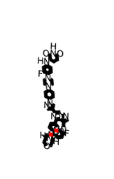 N#Cc1cnn2cc(-c3cnn(C4CCC(N5CCN(c6ccc(NC7CCC(=O)NC7=O)cc6F)CC5)CC4)c3)nc(-c3ccc(N4C[C@H]5COC[C@@H](C4)N5Cc4ccc(F)cn4)nc3)c12